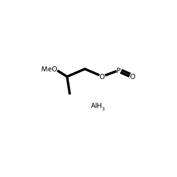 COC(C)COP=O.[AlH3]